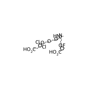 Cc1n[nH]c(COCCCOCCCOc2c(Cl)cc(CCC(=O)O)cc2Cl)c1CCCOc1cc(C(=O)O)ccc1F